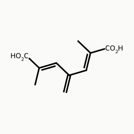 C=C(C=C(C)C(=O)O)C=C(C)C(=O)O